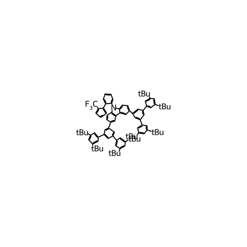 CC(C)(C)c1cc(-c2cc(-c3cc(C(C)(C)C)cc(C(C)(C)C)c3)cc(-c3ccc4c(c3)c3cc(-c5cc(-c6cc(C(C)(C)C)cc(C(C)(C)C)c6)cc(-c6cc(C(C)(C)C)cc(C(C)(C)C)c6)c5)ccc3n4-c3ccccc3-c3ccccc3C(F)(F)F)c2)cc(C(C)(C)C)c1